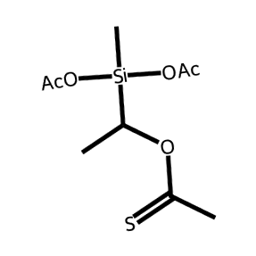 CC(=O)O[Si](C)(OC(C)=O)C(C)OC(C)=S